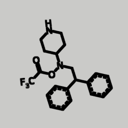 O=C(ON(CC(c1ccccc1)c1ccccc1)C1CCNCC1)C(F)(F)F